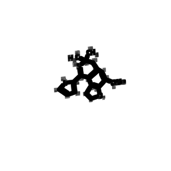 COc1cc2c(c3c1OCC3)C(c1cccs1)=NC(C)(C)C2